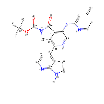 C=C/C=C(\N=C/C)Nc1cnc(-c2ccnc3c2ccn3C)c2c1C(=O)N(C(=O)OC(C)(C)C)C2